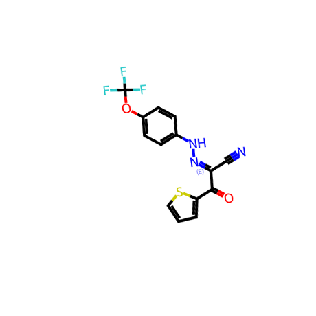 N#C/C(=N\Nc1ccc(OC(F)(F)F)cc1)C(=O)c1cccs1